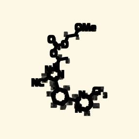 COCCOC(=O)OC(C)n1nc(C#N)c(-c2cccc(-c3nccc(C(F)(F)F)n3)c2)n1